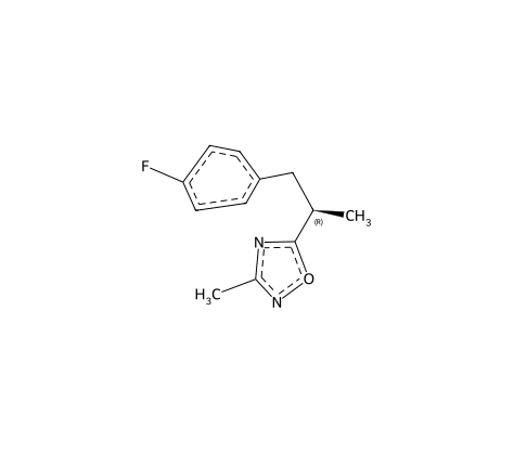 Cc1noc([C@H](C)Cc2ccc(F)cc2)n1